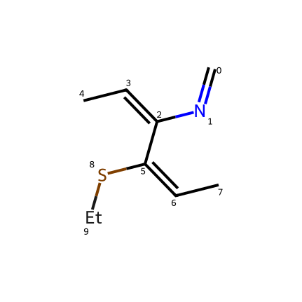 C=NC(=C/C)/C(=C\C)SCC